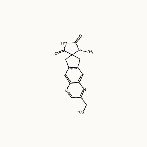 CN1C(=O)NC(=O)C12Cc1cc3ncc(CC(C)(C)C)nc3cc1C2